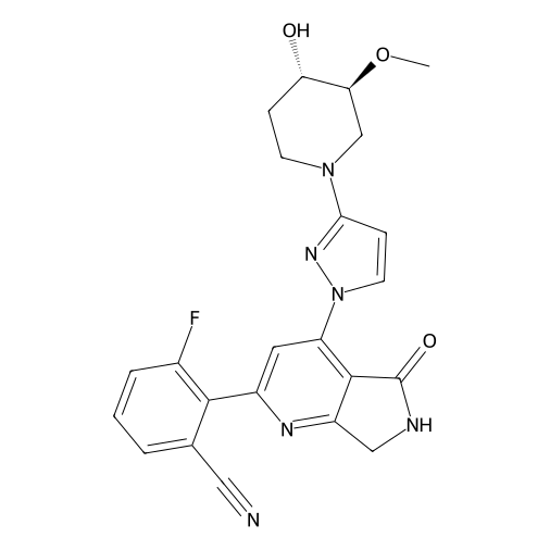 CO[C@H]1CN(c2ccn(-c3cc(-c4c(F)cccc4C#N)nc4c3C(=O)NC4)n2)CC[C@@H]1O